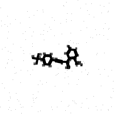 Cc1ccc(N)c(C(=O)C#Cc2ccc(C(C)(C)C)cc2)c1